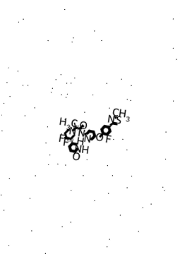 Cc1nc(-c2ccc(Oc3ccc(NC(=O)[C@H](C)N4CCC(F)(F)[C@@H](c5ccc(=O)[nH]c5)C4)nc3)c(F)c2)cs1